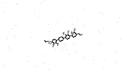 C=CCOc1ccc(-c2ccc(-c3ccc(-c4ccc(/C=C/C)c(F)n4)c(F)c3F)cc2)c(F)c1F